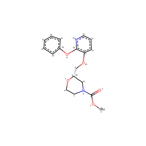 CC(C)(C)OC(=O)N1CCO[C@H](COc2cccnc2Oc2ccccc2)C1